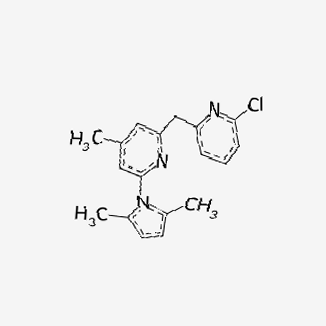 Cc1cc(Cc2cccc(Cl)n2)nc(-n2c(C)ccc2C)c1